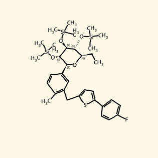 CC[C@H]1O[C@@H](c2ccc(C)c(Cc3ccc(-c4ccc(F)cc4)s3)c2)[C@H](O[Si](C)(C)C)[C@@H](O[Si](C)(C)C)[C@@H]1O[Si](C)(C)C